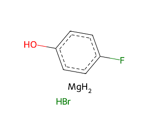 Br.Oc1ccc(F)cc1.[MgH2]